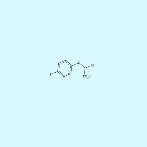 CCC(Oc1ccc(I)cc1)C(=O)O